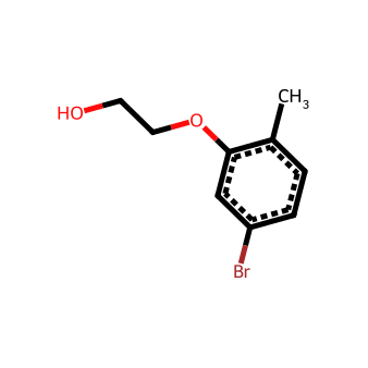 Cc1ccc(Br)cc1OCCO